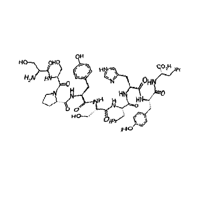 CC(C)C[C@H](NC(=O)[C@H](Cc1ccc(O)cc1)NC(=O)[C@H](Cc1c[nH]cn1)NC(=O)[C@H](CC(C)C)NC(=O)[C@H](CO)NC(=O)[C@H](Cc1ccc(O)cc1)NC(=O)[C@@H]1CCCN1C(=O)[C@H](CO)NC(=O)[C@@H](N)CO)C(=O)O